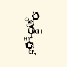 Cl.Cl.O=C1O[C@]2(CC[C@H](CNc3ccc(C(F)(F)F)nc3)CC2)CN1c1cccnc1